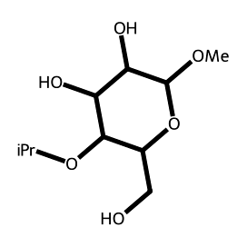 COC1OC(CO)C(OC(C)C)C(O)C1O